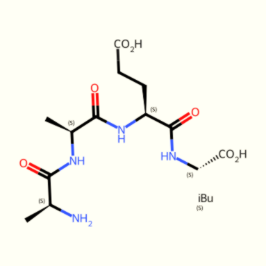 CC[C@H](C)[C@H](NC(=O)[C@H](CCC(=O)O)NC(=O)[C@H](C)NC(=O)[C@H](C)N)C(=O)O